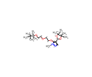 Cn1ncc(B2OC(C)(C)C(C)(C)O2)c1OCCOCCO[Si](C)(C)C(C)(C)C